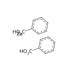 O=C(O)c1ccccc1.O=C(O)c1ccccc1.[Zn]